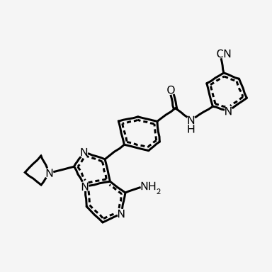 N#Cc1ccnc(NC(=O)c2ccc(-c3nc(N4CCC4)n4ccnc(N)c34)cc2)c1